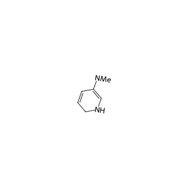 CNC1=CNCC=C1